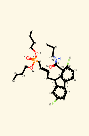 CCCCOP(=O)(CC=CCC1c2cc(F)ccc2-c2ccc(F)c(C(=O)NCCC)c21)OCCCC